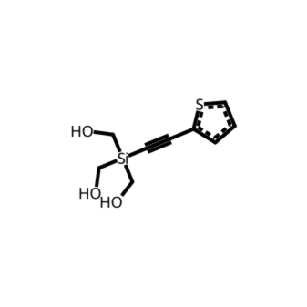 OC[Si](C#Cc1cccs1)(CO)CO